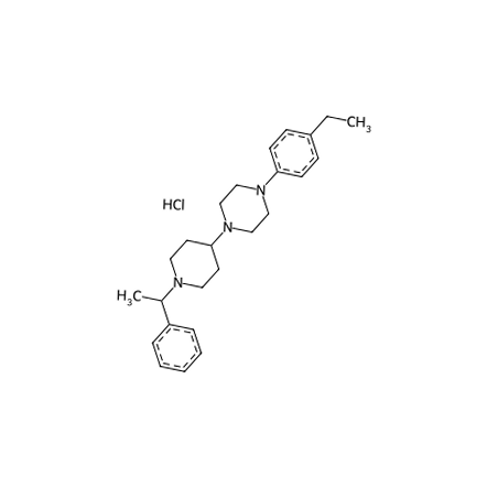 CCc1ccc(N2CCN(C3CCN(C(C)c4ccccc4)CC3)CC2)cc1.Cl